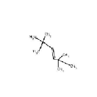 CC(C)(C)/C=C/C(C)(C)N